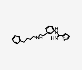 N=C(Nc1cccc(CCNCCCCc2ccccc2)c1)c1cccs1